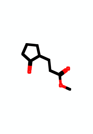 COC(=O)CCC1CCCC1=O